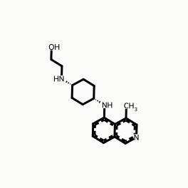 Cc1cncc2cccc(N[C@H]3CC[C@@H](NCCO)CC3)c12